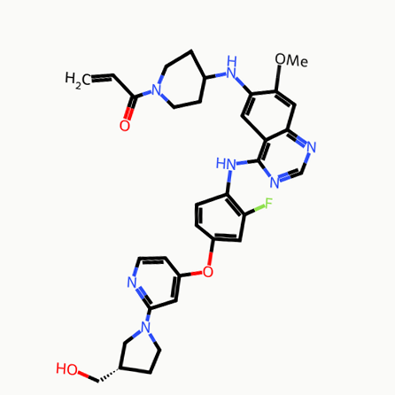 C=CC(=O)N1CCC(Nc2cc3c(Nc4ccc(Oc5ccnc(N6CC[C@H](CO)C6)c5)cc4F)ncnc3cc2OC)CC1